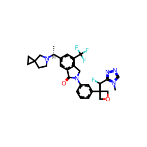 C[C@H](c1cc2c(c(C(F)(F)F)c1)CN(c1cccc(C3(C(F)c4nncn4C)COC3)c1)C2=O)N1CCC2(CC2)C1